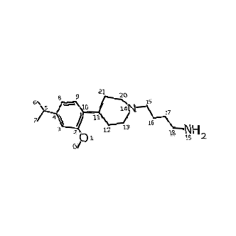 COc1cc(C(C)C)ccc1C1CCN(CCCCN)CC1